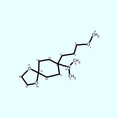 COCCCC1(N(C)C)CCC2(CC1)OCCO2